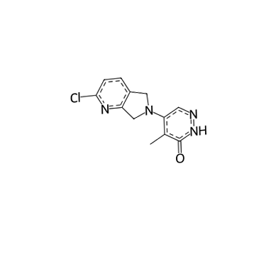 Cc1c(N2Cc3ccc(Cl)nc3C2)cn[nH]c1=O